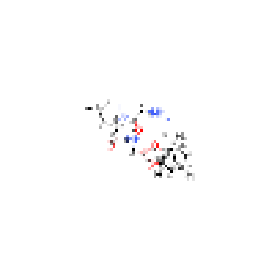 CC(C)C[C@H](NC(=O)CN)C(=O)NCB1O[C@@H]2C[C@@H]3C[C@@H](C3(C)C)[C@]2(C)O1